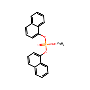 O=P(O)(Oc1cccc2ccccc12)Oc1cccc2ccccc12.[MgH2]